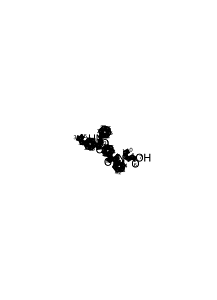 CCC(CCC(=O)O)n1cc(C(=O)c2cccc(OC(C(=O)Nc3ccccc3)c3ccc(CC(C)C)cc3)c2)c2ccccc21